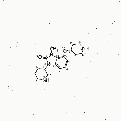 Cn1c(=O)n(C2CCCNC2)c2cccc(OC3CCNCC3)c21